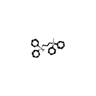 F[Si](CCC[Si](F)(c1ccccc1)c1ccccc1)(c1ccccc1)c1ccccc1